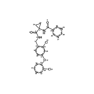 O=C(NC1(C(=O)NCc2ccc(Oc3ccccc3Cl)cc2Cl)CC1)c1cncnc1